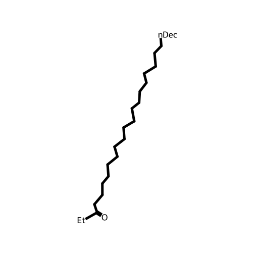 CCCCCCCCCCCCCCCCCCCCCCCCCCCCC(=O)CC